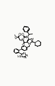 COC(=O)Cn1c(=O)c2c(nc(C3CCCCC3)n2Cc2ccc(-c3ccccc3-c3nnn[nH]3)cc2)n(C(C)c2ccccc2)c1=O